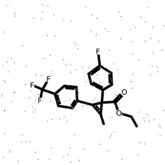 CCOC(=O)C1(c2ccc(F)cc2)C(C)=C1c1ccc(C(F)(F)F)cc1